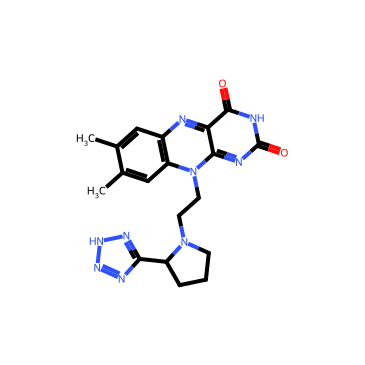 Cc1cc2nc3c(=O)[nH]c(=O)nc-3n(CCN3CCCC3c3nn[nH]n3)c2cc1C